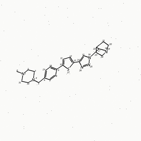 CN1CCN(Cc2ccc(-c3ccc(-c4cn(C5CN6CCC5CC6)nn4)s3)cc2)CC1